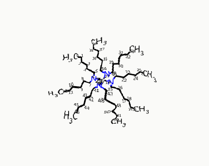 CCCCCC[N](CCCCCC)[Zr]([N](CCCCCC)CCCCCC)([N](CCCCCC)CCCCCC)[N](CCCCCC)CCCCCC